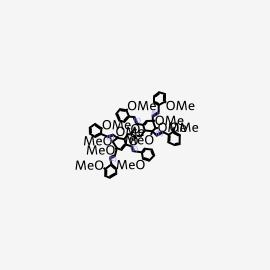 COc1ccccc1/C=C/C1=CC(/C=C/c2ccccc2OC)(OC)C(OC)C(/C=C/c2ccccc2OC)(OC)C1CS(=O)(=O)CC1C(/C=C/c2ccccc2OC)=CC(/C=C/c2ccccc2OC)(OC)C(OC)C1(/C=C/c1ccccc1OC)OC